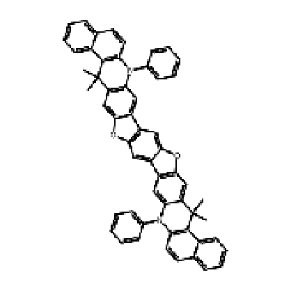 CC1(C)c2cc3oc4cc5c(cc4c3cc2N(c2ccccc2)c2ccc3ccccc3c21)oc1cc2c(cc15)N(c1ccccc1)c1ccc3ccccc3c1C2(C)C